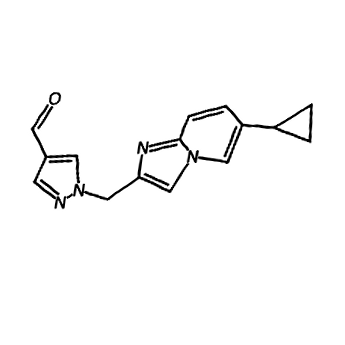 O=Cc1cnn(Cc2cn3cc(C4CC4)ccc3n2)c1